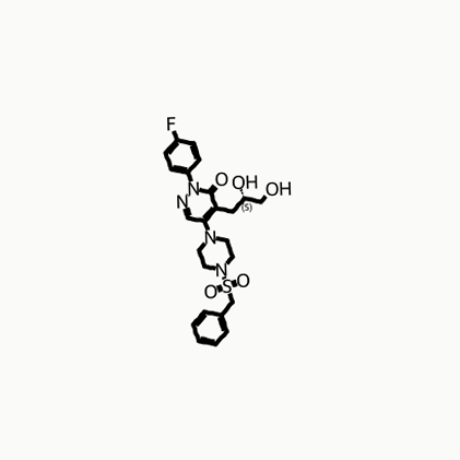 O=c1c(C[C@H](O)CO)c(N2CCN(S(=O)(=O)Cc3ccccc3)CC2)cnn1-c1ccc(F)cc1